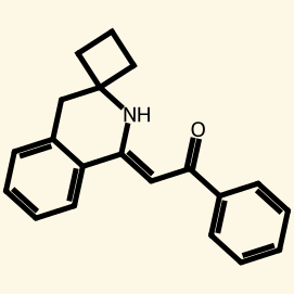 O=C(C=C1NC2(CCC2)Cc2ccccc21)c1ccccc1